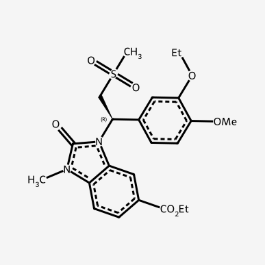 CCOC(=O)c1ccc2c(c1)n([C@@H](CS(C)(=O)=O)c1ccc(OC)c(OCC)c1)c(=O)n2C